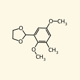 COc1cc(C)c(OC)c(C2OCCO2)c1